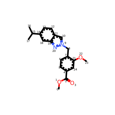 COC(=O)c1ccc(Cn2cc3ccc(C(C)C)cc3n2)c(OC)c1